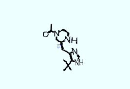 CC(=O)N1CCN/C(=C\c2nc[nH]c2C(C)(C)C)C1